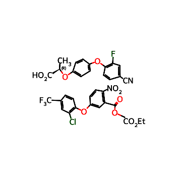 CCOC(=O)COC(=O)c1cc(Oc2ccc(C(F)(F)F)cc2Cl)ccc1[N+](=O)[O-].C[C@@H](Oc1ccc(Oc2ccc(C#N)cc2F)cc1)C(=O)O